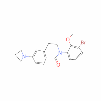 COc1c(Br)cccc1N1CCc2cc(N3CCC3)ccc2C1=O